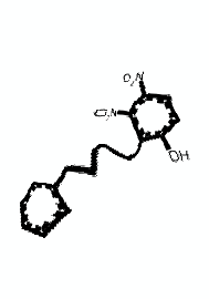 O=[N+]([O-])c1ccc(O)c(CCCCc2ccccc2)c1[N+](=O)[O-]